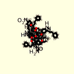 CN1CCN(c2cc3[nH]nc(C=Cc4ccccc4)c3cc2NC(=O)C(C2CC2)C(C(=O)Nc2cc3c(C=Cc4cccc([N+](=O)[O-])c4)n[nH]c3cc2N2CCCC2)(c2cc3c(C=Cc4ccccc4)nn(C(N)=O)c3cc2N2CCN(C)CC2)C(C(=O)Nc2cc3c(C=Cc4ccccc4)n[nH]c3cc2N2CCN(C)CC2)N(C)C)CC1